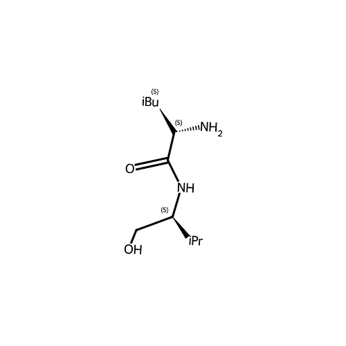 CC[C@H](C)[C@H](N)C(=O)N[C@H](CO)C(C)C